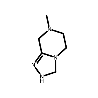 CN1CCN2CNN=C2C1